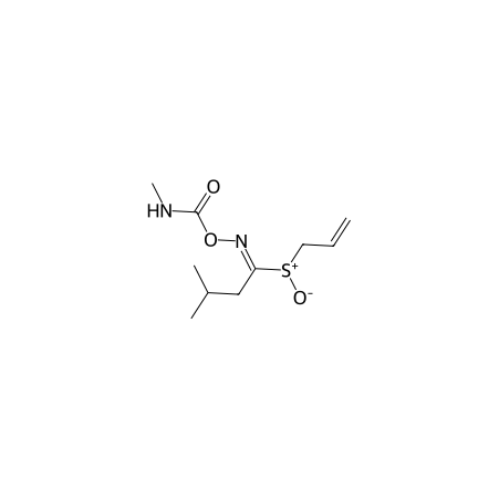 C=CC[S+]([O-])C(CC(C)C)=NOC(=O)NC